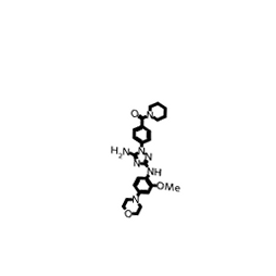 COc1cc(N2CCOCC2)ccc1Nc1nc(N)n(-c2ccc(C(=O)N3CCCCC3)cc2)n1